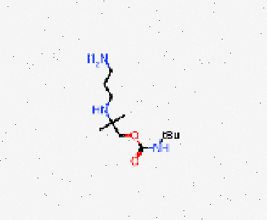 CC(C)(C)NC(=O)OCC(C)(C)NCCCN